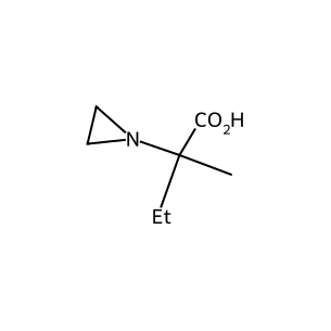 CCC(C)(C(=O)O)N1CC1